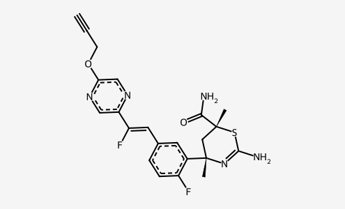 C#CCOc1cnc(/C(F)=C/c2ccc(F)c([C@]3(C)C[C@](C)(C(N)=O)SC(N)=N3)c2)cn1